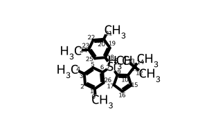 Cc1cc(C)cc([Si](C)(C2=C(C(C)(C)C)C=CC2)c2cc(C)cc(C)c2)c1